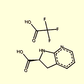 O=C(O)C(F)(F)F.O=C(O)[C@@H]1Cc2cccnc2N1